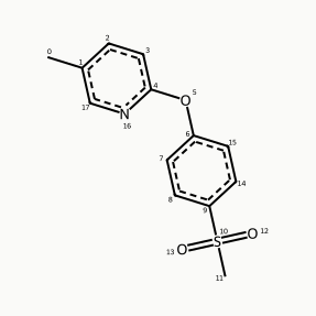 Cc1ccc(Oc2ccc(S(C)(=O)=O)cc2)nc1